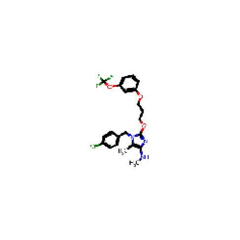 CNc1nc(OCCCOc2cccc(OC(F)(F)F)c2)n(Cc2ccc(Cl)cc2)c1C